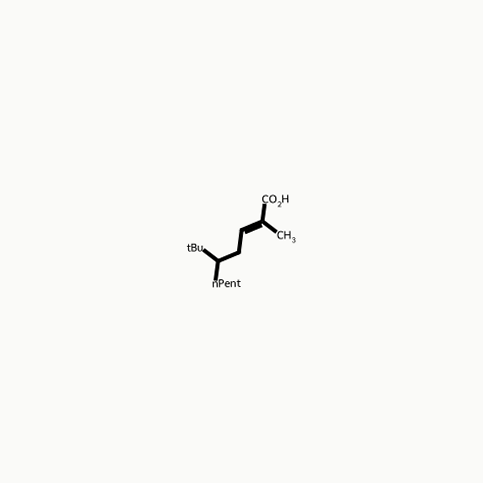 CCCCCC(C/C=C(\C)C(=O)O)C(C)(C)C